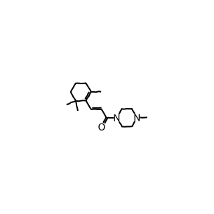 CC1=C(/C=C/C(=O)N2CCN(C)CC2)C(C)(C)CCC1